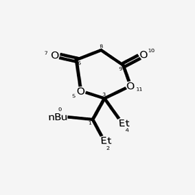 CCCCC(CC)C1(CC)OC(=O)CC(=O)O1